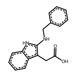 O=C(O)Cc1c(NCc2ccccc2)[nH]c2ccccc12